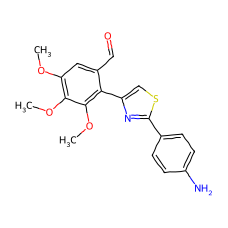 COc1cc(C=O)c(-c2csc(-c3ccc(N)cc3)n2)c(OC)c1OC